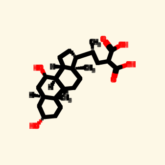 C[C@H](CC(C(=O)O)C(=O)O)[C@H]1CC[C@H]2[C@@H]3[C@H](O)C[C@@H]4C[C@@H](O)CC[C@]4(C)[C@H]3CC[C@]12C